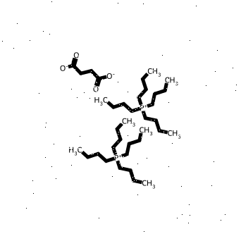 CCCC[P+](CCCC)(CCCC)CCCC.CCCC[P+](CCCC)(CCCC)CCCC.O=C([O-])CCC(=O)[O-]